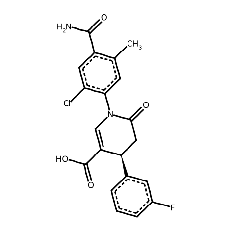 Cc1cc(N2C=C(C(=O)O)[C@H](c3cccc(F)c3)CC2=O)c(Cl)cc1C(N)=O